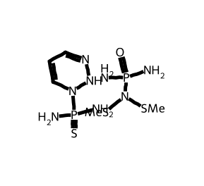 CSN(SC)P(N)(N)=O.NP(N)(=S)N1C=CC=NN1